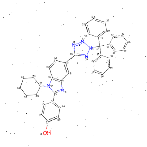 Oc1ccc(-c2nc3cc(-c4nnn(C(c5ccccc5)(c5ccccc5)c5ccccc5)n4)ccc3n2C2CCCCC2)cc1